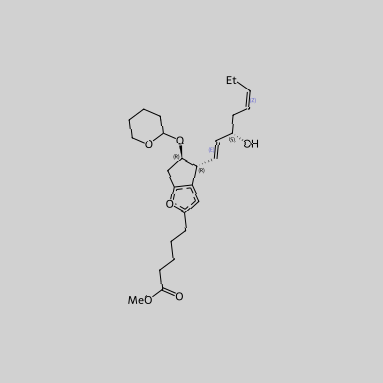 CC/C=C\C[C@H](O)/C=C/[C@@H]1c2cc(CCCCC(=O)OC)oc2C[C@H]1OC1CCCCO1